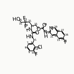 CN(C(=O)NCc1cccc(F)c1Cl)[C@H](COC(=O)Nc1cc2cc(F)ccc2cn1)CC(F)(F)CO